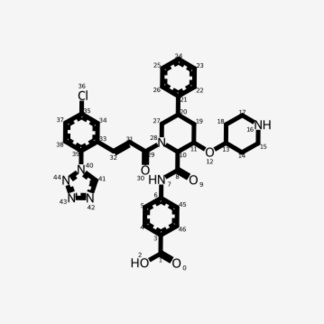 O=C(O)c1ccc(NC(=O)C2C(OC3CCNCC3)CC(c3ccccc3)CN2C(=O)/C=C/c2cc(Cl)ccc2-n2cnnn2)cc1